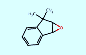 CC1(C)c2ccccc2C2OC21